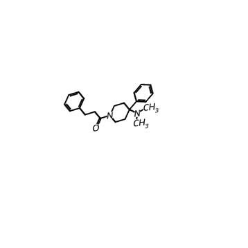 CN(C)C1(c2ccccc2)CCN(C(=O)CCc2ccccc2)CC1